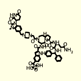 Cn1c(=O)n(C2CCC(=O)NC2=O)c2ccc(CN3CCN(CC(=O)N4CC[C@H]5CC[C@@H](C(=O)N[C@@H](CCC(N)=O)C(=O)NC(c6ccccc6)c6ccccc6)N5C(=O)[C@@H](NC(=O)c5cc6cc(C(=O)P(=O)(O)O)ccc6[nH]5)C4)CC3)cc21